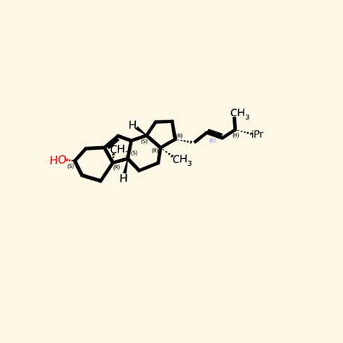 CC(C)[C@@H](C)/C=C/C[C@H]1CC[C@H]2C3C=C4C[C@@H](O)CC[C@]4(C)[C@H]3CC[C@]12C